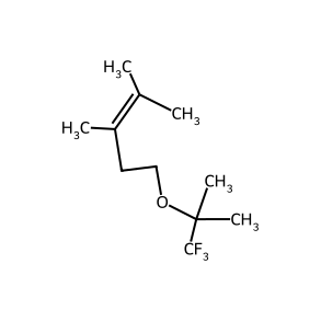 CC(C)=C(C)CCOC(C)(C)C(F)(F)F